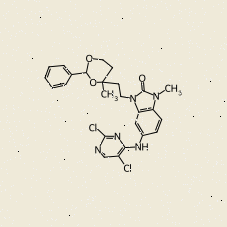 Cn1c(=O)n(CCC2(C)CCOC(c3ccccc3)O2)c2cc(Nc3nc(Cl)ncc3Cl)ccc21